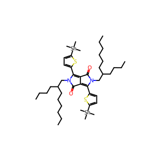 CCCCCCC(CCCC)CN1C(=O)C2=C(c3cc[c]([Sn]([CH3])([CH3])[CH3])s3)N(CC(CCCC)CCCCCC)C(=O)C2=C1c1cc[c]([Sn]([CH3])([CH3])[CH3])s1